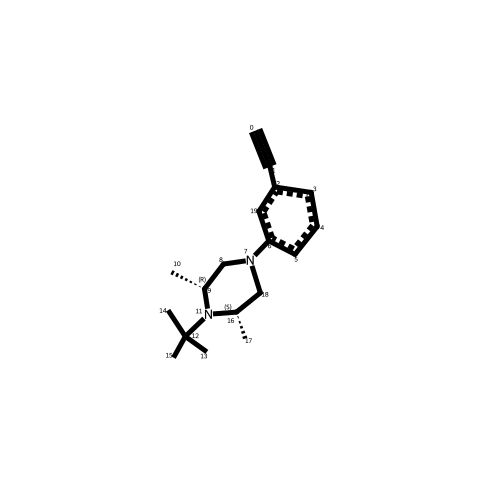 C#Cc1cccc(N2C[C@@H](C)N(C(C)(C)C)[C@@H](C)C2)c1